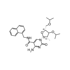 CC(C)OC[C@H]1O[C@@H](n2cc(C(=O)NCc3cccc4ccccc34)c(N)nc2=O)[C@@H](C)C1OC(C)C